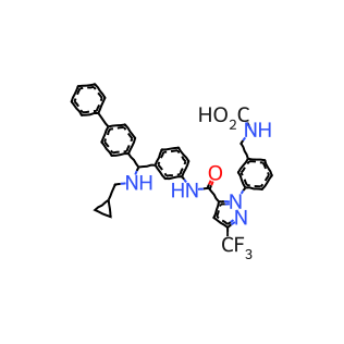 O=C(O)NCc1cccc(-n2nc(C(F)(F)F)cc2C(=O)Nc2cccc(C(NCC3CC3)c3ccc(-c4ccccc4)cc3)c2)c1